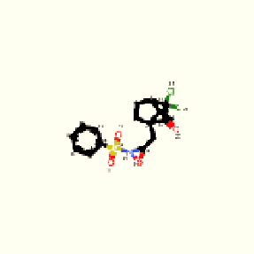 CC1(C)C2CCC1(CC1ON1S(=O)(=O)c1ccccc1)C(=O)C2(Cl)Cl